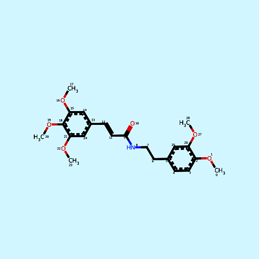 COc1ccc([CH]CNC(=O)/C=C/c2cc(OC)c(OC)c(OC)c2)cc1OC